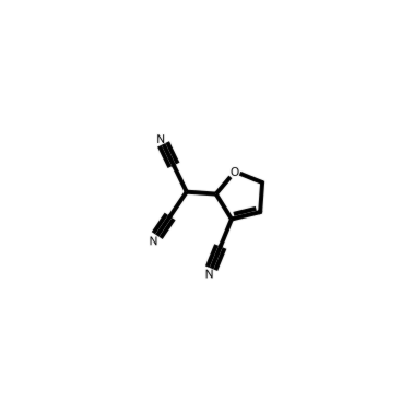 N#CC1=CCOC1C(C#N)C#N